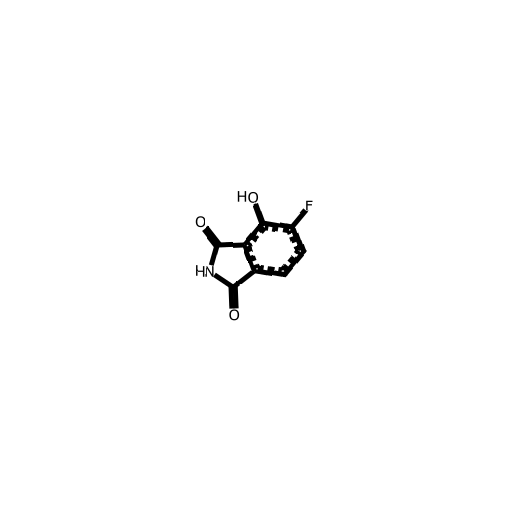 O=C1NC(=O)c2c1ccc(F)c2O